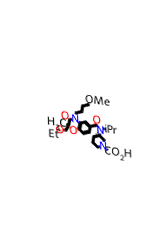 CCOCC1(C)Oc2ccc(C(=O)N(C(C)C)[C@@H]3CCCN(C(=O)O)C3)cc2N(CCCCOC)C1=O